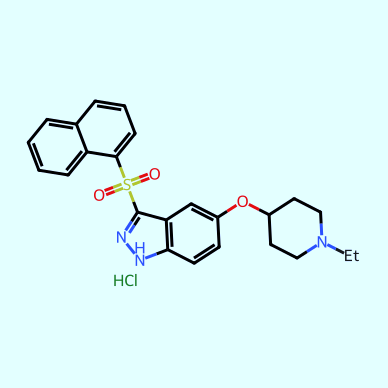 CCN1CCC(Oc2ccc3[nH]nc(S(=O)(=O)c4cccc5ccccc45)c3c2)CC1.Cl